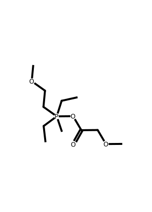 CCP(C)(CC)(CCOC)OC(=O)COC